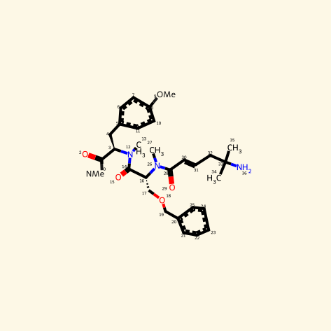 CNC(=O)[C@@H](Cc1ccc(OC)cc1)N(C)C(=O)[C@@H](COCc1ccccc1)N(C)C(=O)/C=C/CC(C)(C)N